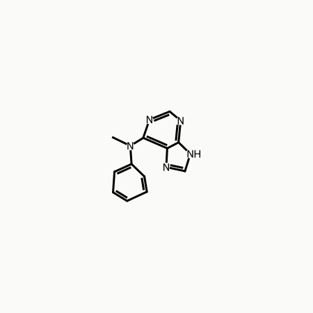 CN(c1ccccc1)c1ncnc2[nH]cnc12